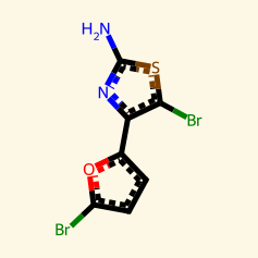 Nc1nc(-c2ccc(Br)o2)c(Br)s1